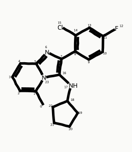 Cc1cccc2nc(-c3ccc(F)cc3Cl)c(NC3CCCC3)n12